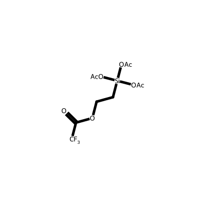 CC(=O)O[Si](CCOC(=O)C(F)(F)F)(OC(C)=O)OC(C)=O